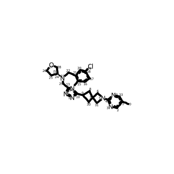 Cc1cnc(N2CC3(CC(c4nnc5n4-c4ccc(Cl)cc4CN([C@H]4CCOC4)C5)C3)C2)nc1